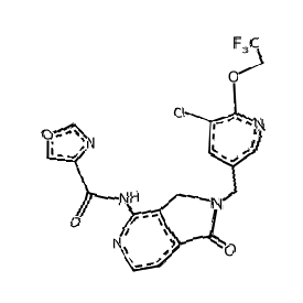 O=C(Nc1nccc2c1CN(Cc1cnc(OCC(F)(F)F)c(Cl)c1)C2=O)c1cocn1